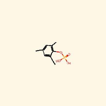 Cc1cc(C)c(OP(=O)(O)O)c(C)c1